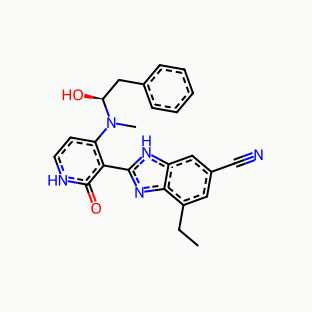 CCc1cc(C#N)cc2[nH]c(-c3c(N(C)[C@@H](O)Cc4ccccc4)cc[nH]c3=O)nc12